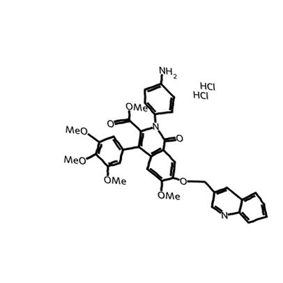 COC(=O)c1c(-c2cc(OC)c(OC)c(OC)c2)c2cc(OC)c(OCc3cnc4ccccc4c3)cc2c(=O)n1-c1ccc(N)cc1.Cl.Cl